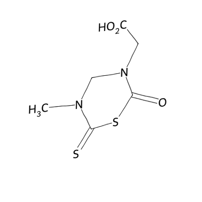 CN1CN(CC(=O)O)C(=O)SC1=S